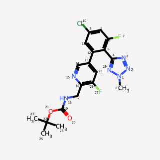 Cn1nnc(-c2c(F)cc(Cl)cc2-c2cnc(CNC(=O)OC(C)(C)C)c(F)c2)n1